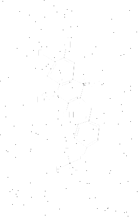 Cc1c(Cc2ccc(OC(F)(F)F)cc2)c(=O)c2cc(Cl)c(F)cc2n1O